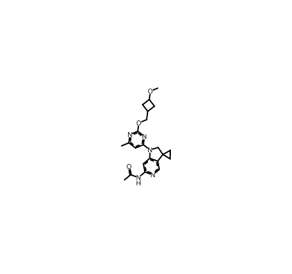 COC1CC(COc2nc(C)cc(N3CC4(CC4)c4cnc(NC(C)=O)cc43)n2)C1